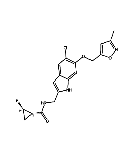 Cc1cc(COc2cc3[nH]c(CNC(=O)[C@@H]4C[C@H]4F)cc3cc2Cl)on1